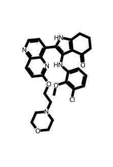 COc1c(Cl)cccc1Nc1c(-c2ccnc3ccc(OCCN4CCOCC4)nc23)[nH]c2c1C(=O)CCC2